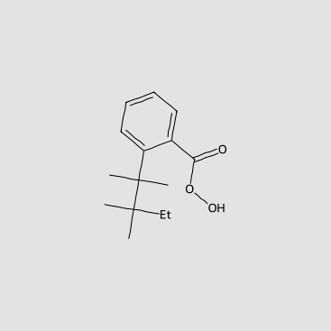 CCC(C)(C)C(C)(C)c1ccccc1C(=O)OO